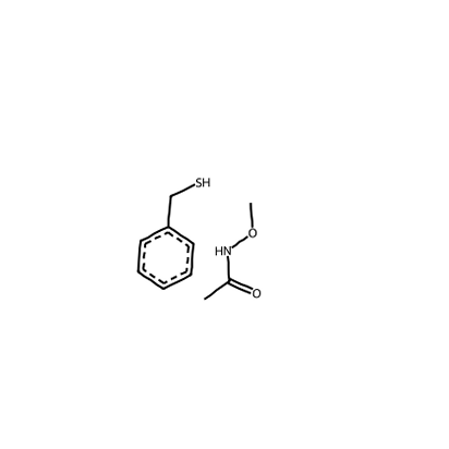 CONC(C)=O.SCc1ccccc1